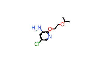 CC(C)OCCOc1ncc(Cl)cc1N